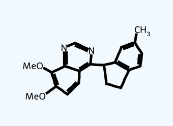 COc1ccc2c(C3CCc4ccc(C)cc43)ncnc2c1OC